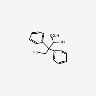 O=C(O)[C@@H](O)C(CO)(c1ccccc1)c1ccccc1